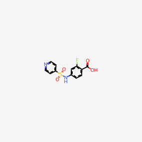 O=C(O)c1ccc(NS(=O)(=O)c2ccncc2)cc1F